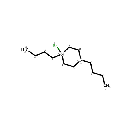 CCCC[SiH]1CC[Si](Br)(CCCC)CC1